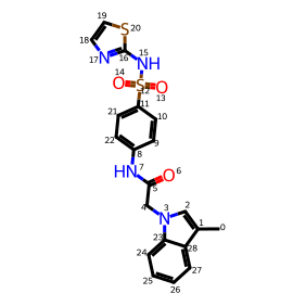 Cc1cn(CC(=O)Nc2ccc(S(=O)(=O)Nc3nccs3)cc2)c2ccccc12